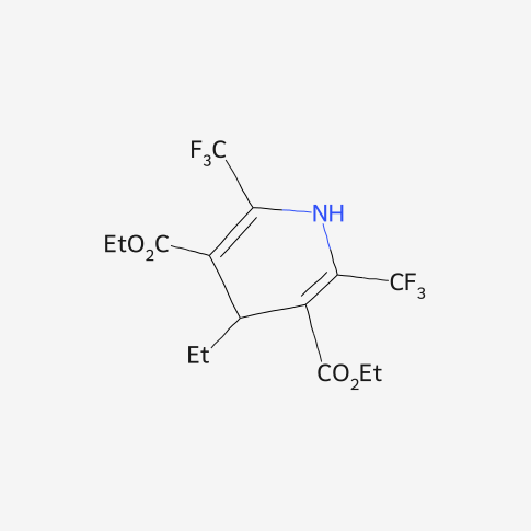 CCOC(=O)C1=C(C(F)(F)F)NC(C(F)(F)F)=C(C(=O)OCC)C1CC